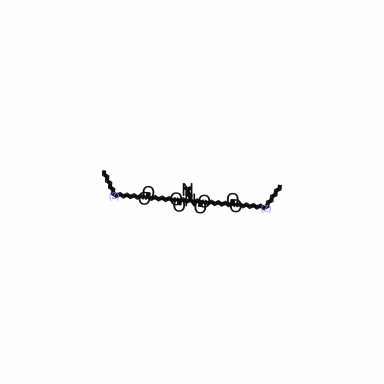 CCCCCCC/C=C\CCCCCCCOC(=O)CCCCCCCOC(=O)CCN(CCC(=O)OCCCCCCCC(=O)OCCCCCCC/C=C\CCCCCCC)CCN(C)C